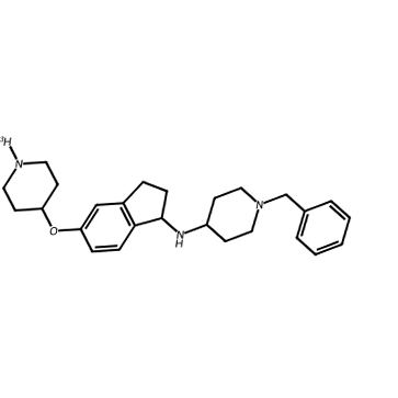 [3H]N1CCC(Oc2ccc3c(c2)CCC3NC2CCN(Cc3ccccc3)CC2)CC1